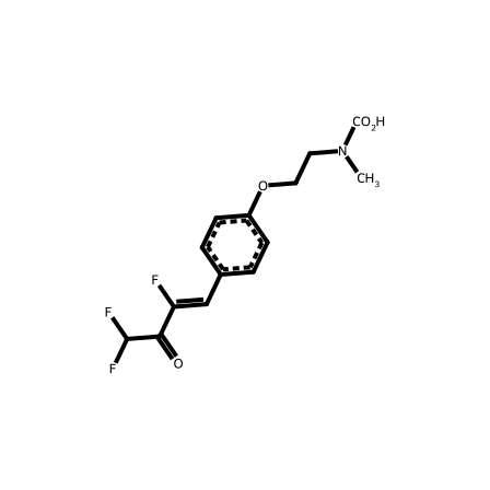 CN(CCOc1ccc(C=C(F)C(=O)C(F)F)cc1)C(=O)O